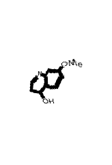 COc1ccc2c(c1)N=CCC2O